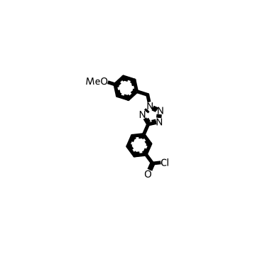 COc1ccc(Cn2nnc(-c3cccc(C(=O)Cl)c3)n2)cc1